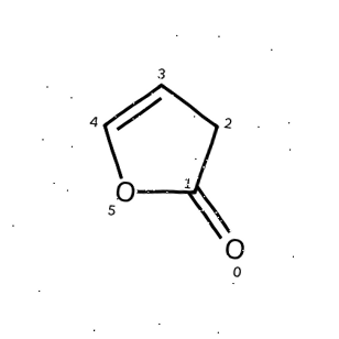 O=C1CC=CO1